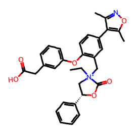 CC[N+]1(Cc2cc(-c3c(C)noc3C)ccc2Oc2cccc(CC(=O)O)c2)C[C@@H](c2ccccc2)OC1=O